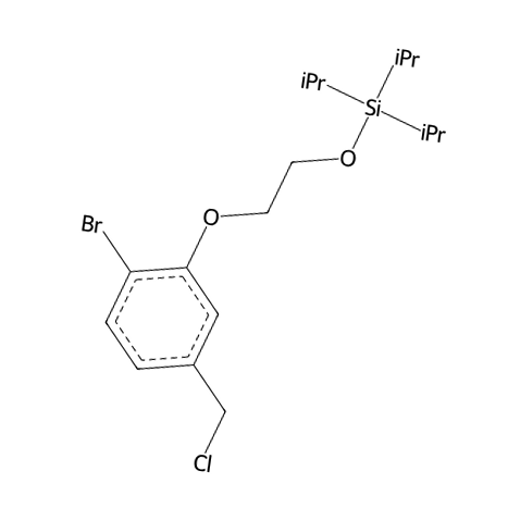 CC(C)[Si](OCCOc1cc(CCl)ccc1Br)(C(C)C)C(C)C